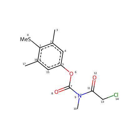 CSc1c(C)cc(OC(=O)N(C)C(=O)CCl)cc1C